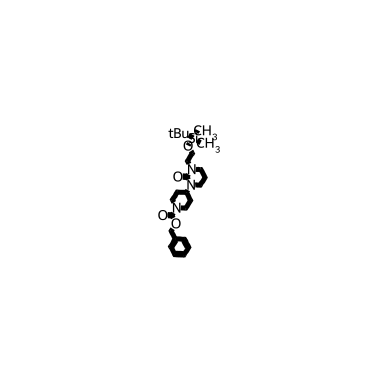 CC(C)(C)[Si](C)(C)OCCN1CCCN(C2CCN(C(=O)OCc3ccccc3)CC2)C1=O